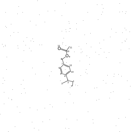 CCC(C)c1ccc(COC(C)=O)cc1